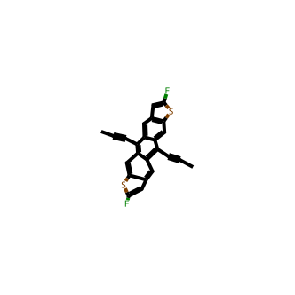 CC#Cc1c2cc3cc(F)sc3cc2c(C#CC)c2cc3cc(F)sc3cc12